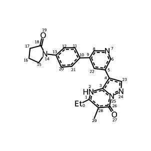 CCc1[nH]c2c(-c3cncc(-c4ccc(N5CCCC5=O)cc4)c3)cnn2c(=O)c1C